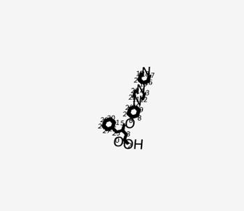 O=C(O)CC(COc1ccc(N2CCN(c3ccncc3)CC2)cc1)Cc1ccccc1